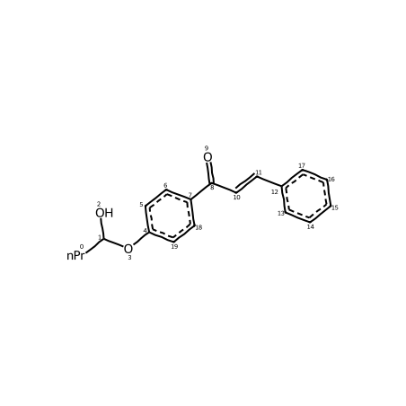 CCCC(O)Oc1ccc(C(=O)C=Cc2ccccc2)cc1